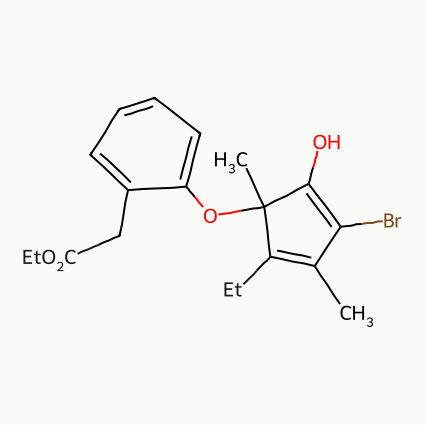 CCOC(=O)Cc1ccccc1OC1(C)C(O)=C(Br)C(C)=C1CC